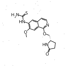 COc1cc2c(OC[C@@H]3CCC(=O)N3)nccc2cc1NC(N)=S